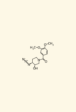 COc1ccc(C(=O)N2CC[C@H](N=[N+]=[N-])[C@H](O)C2)cc1OC